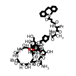 CC[C@H](C)[C@@H]1NC(=O)CNC(=O)[C@@H]2Cc3c([nH]c4cc(OCc5ccc(NC(=O)[C@H](C)NC(=O)C(NC(=O)CCC(=O)N6Cc7ccccc7/C=C\c7ccccc76)C(C)C)cc5)ccc34)[S+]([O-])C[C@H](NC(=O)CNC1=O)C(=O)N[C@@H](CC(N)=O)C(=O)N1C[C@H](O)C[C@H]1C(=O)N[C@@H]([C@@H](C)[C@@H](O)CO)C(=O)N2